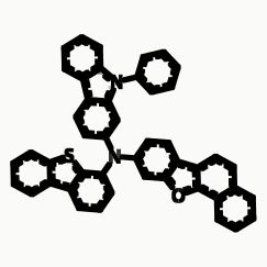 c1ccc(-n2c3ccccc3c3ccc(N(c4ccc5c(c4)oc4c6ccccc6ccc54)c4cccc5c4sc4ccccc45)cc32)cc1